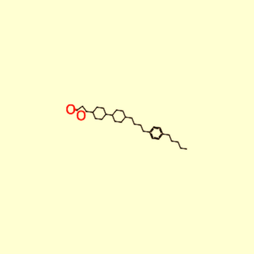 CCCCCc1ccc(CCCCC2CCC(C3CCC(C4CC(=O)O4)CC3)CC2)cc1